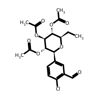 CC[C@H]1O[C@@H](c2ccc(Cl)c(C=O)c2)[C@H](OC(C)=O)[C@@H](OC(C)=O)[C@@H]1OC(C)=O